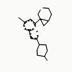 Cc1cc(C23CNCCC2C3)n2nc(C3CCC(C(F)(F)F)CC3)cc2n1